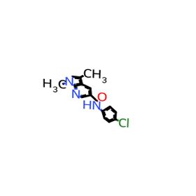 Cc1cn(C)c2ncc(C(=O)Nc3ccc(Cl)cc3)cc12